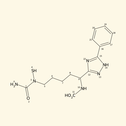 NC(=O)N(S)CCCCC(NC(=O)O)c1n[nH]c(-c2ccccc2)n1